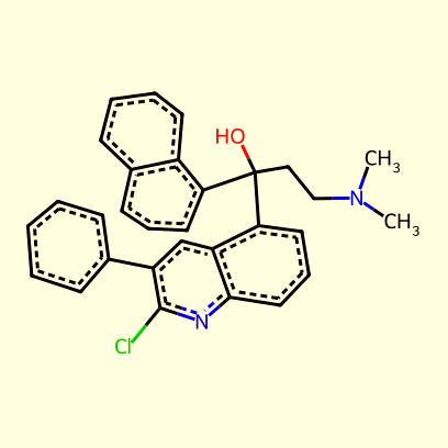 CN(C)CCC(O)(c1cccc2ccccc12)c1cccc2nc(Cl)c(-c3ccccc3)cc12